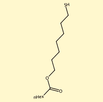 CCCCCCC(=O)OCCCCCCCS